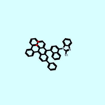 CCc1nc2ccccc2n1-c1ccc(-c2c3ccccc3c(-c3ccccc3-c3ccccc3)c3ccc(-c4ccccc4)cc23)c2ccccc12